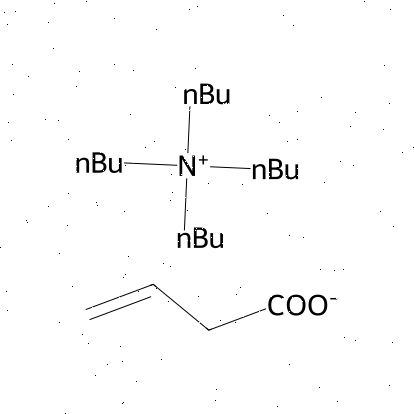 C=CCC(=O)[O-].CCCC[N+](CCCC)(CCCC)CCCC